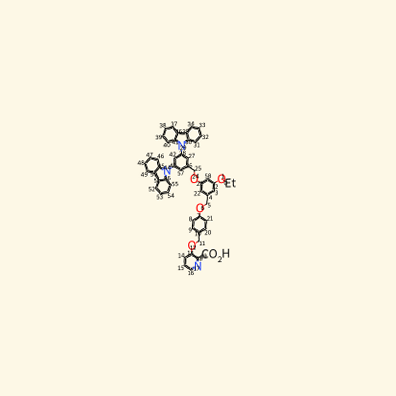 CCOc1cc(COc2ccc(COc3cccnc3C(=O)O)cc2)cc(OCc2cc(-n3c4ccccc4c4ccccc43)cc(-n3c4ccccc4c4ccccc43)c2)c1